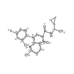 O=C(NC(C1CC1)C(F)(F)F)c1cn(-c2ncc(F)cc2Cl)c2nc(Cl)ccc2c1=O